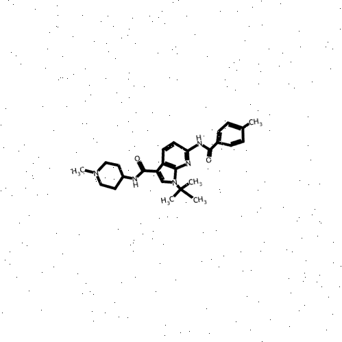 Cc1ccc(C(=O)Nc2ccc3c(C(=O)NC4CCN(C)CC4)cn(C(C)(C)C)c3n2)cc1